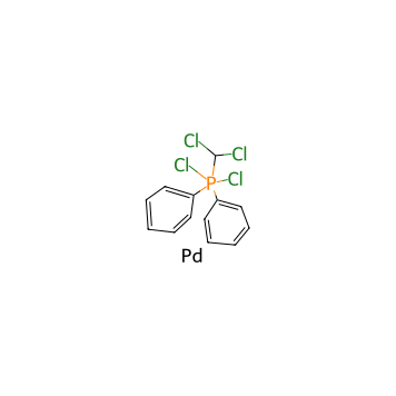 ClC(Cl)P(Cl)(Cl)(c1ccccc1)c1ccccc1.[Pd]